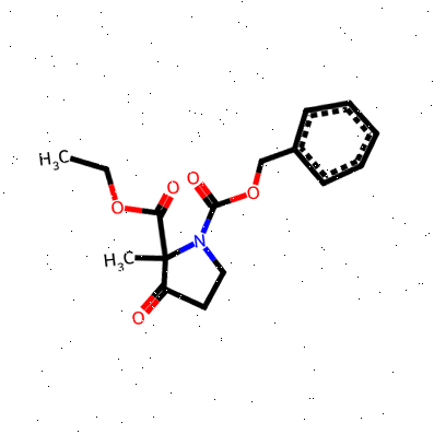 CCOC(=O)C1(C)C(=O)CCN1C(=O)OCc1ccccc1